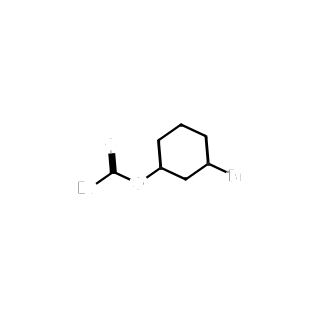 C[CH]C(=O)OC1CCCC(Br)C1